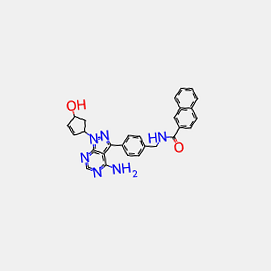 Nc1ncnc2c1c(-c1ccc(CNC(=O)c3ccc4ccccc4c3)cc1)nn2C1C=CC(O)C1